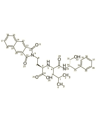 CC(C)CC(N[C@H](CCN1C(=O)c2cc3ccccc3cc2C1=O)C(=O)O)C(=O)N[C@H](CO)Cc1ccccc1